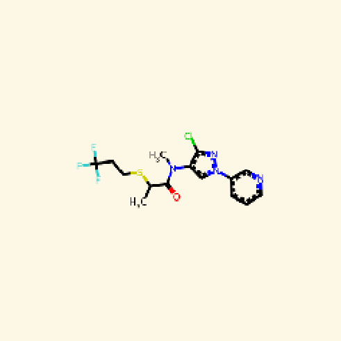 CC(SCCC(F)(F)F)C(=O)N(C)c1cn(-c2cccnc2)nc1Cl